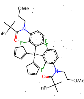 CCCC(C)(C)C(=O)N(CCOC)c1ccc(F)[c]([Ti]([C]2=CC=CC2)([C]2=CC=CC2)[c]2c(F)ccc(N(CCOC)C(=O)C(C)(C)CCC)c2F)c1F